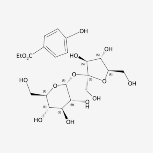 CCOC(=O)c1ccc(O)cc1.OC[C@H]1O[C@@](CO)(O[C@H]2O[C@H](CO)[C@@H](O)[C@H](O)[C@H]2O)[C@@H](O)[C@@H]1O